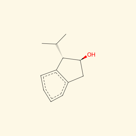 CC(C)[C@H]1c2ccccc2C[C@@H]1O